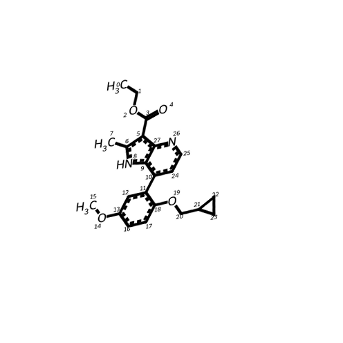 CCOC(=O)c1c(C)[nH]c2c(-c3cc(OC)ccc3OCC3CC3)ccnc12